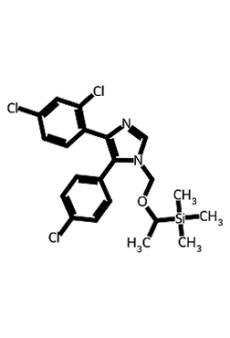 CC(OCn1cnc(-c2ccc(Cl)cc2Cl)c1-c1ccc(Cl)cc1)[Si](C)(C)C